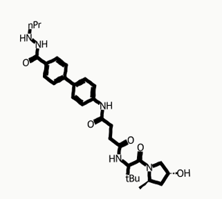 CCCNNC(=O)c1ccc(-c2ccc(NC(=O)CCC(=O)NC(C(=O)N3C[C@H](O)C[C@H]3C)C(C)(C)C)cc2)cc1